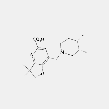 C[C@@H]1CN(Cc2cc(C(=O)O)nc3c2OCC3(C)C)CC[C@@H]1F